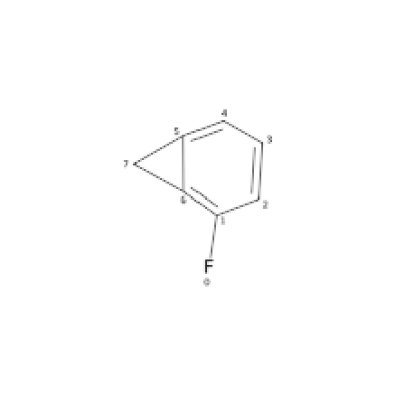 Fc1cccc2c1C2